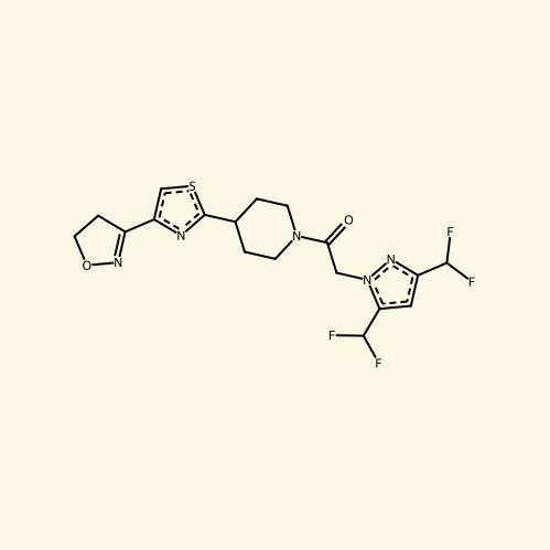 O=C(Cn1nc(C(F)F)cc1C(F)F)N1CCC(c2nc(C3=NOCC3)cs2)CC1